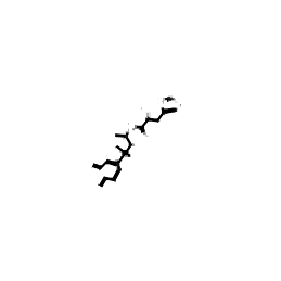 C=C/C=C\C(=C/C=C)C(C)(C)CC(C)NC(=O)C(N)Cc1c[nH]cn1